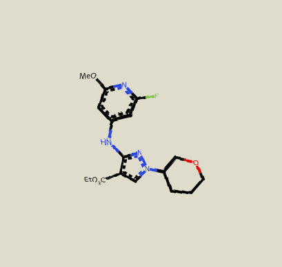 CCOC(=O)c1cn(C2CCCOC2)nc1Nc1cc(F)nc(OC)c1